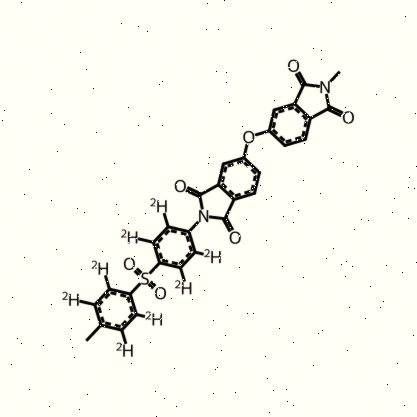 [2H]c1c([2H])c(S(=O)(=O)c2c([2H])c([2H])c(N3C(=O)c4ccc(Oc5ccc6c(c5)C(=O)N(C)C6=O)cc4C3=O)c([2H])c2[2H])c([2H])c([2H])c1C